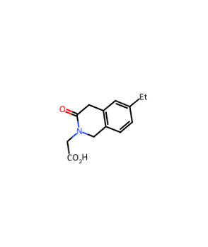 CCc1ccc2c(c1)CC(=O)N(CC(=O)O)C2